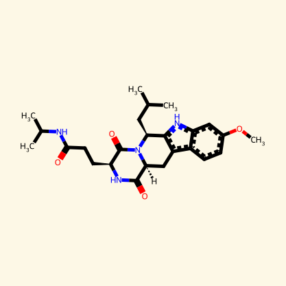 COc1ccc2c3c([nH]c2c1)[C@H](CC(C)C)N1C(=O)[C@H](CCC(=O)NC(C)C)NC(=O)[C@@H]1C3